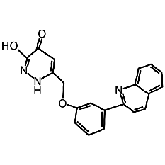 O=c1cc(COc2cccc(-c3ccc4ccccc4n3)c2)[nH]nc1O